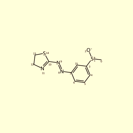 C[S+]([O-])c1cccc(N=NC2=NCCS2)c1